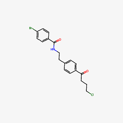 O=C(CCCCl)c1ccc(CCNC(=O)c2ccc(Br)cc2)cc1